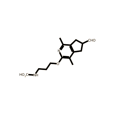 Cc1nc(OCCCNC(=O)O)c(C)c2c1CC(C=O)C2